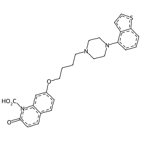 O=C(O)n1c(=O)ccc2ccc(OCCCCN3CCN(c4cccc5sccc45)CC3)cc21